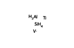 [AlH3].[SiH4].[Ti].[V]